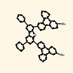 CC(C)(C)c1ccc2c3ccc(-c4cc(-c5ccccc5)cc5c4sc4c(-c6ccc7c8ccc(C(C)(C)C)cc8c8ccccc8c7c6)cc(-c6ccccc6)cc45)cc3c3ccccc3c2c1